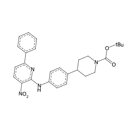 CC(C)(C)OC(=O)N1CCC(c2ccc(Nc3nc(-c4ccccc4)ccc3[N+](=O)[O-])cc2)CC1